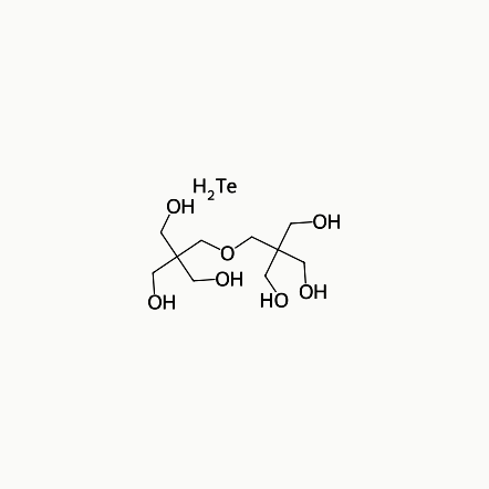 OCC(CO)(CO)COCC(CO)(CO)CO.[TeH2]